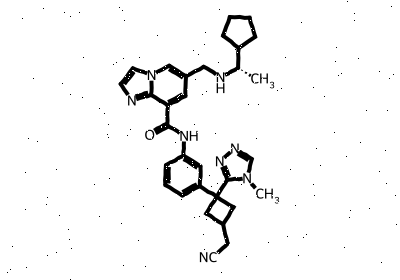 C[C@H](NCc1cc(C(=O)Nc2cccc(C3(c4nncn4C)CC(CC#N)C3)c2)c2nccn2c1)C1CCCC1